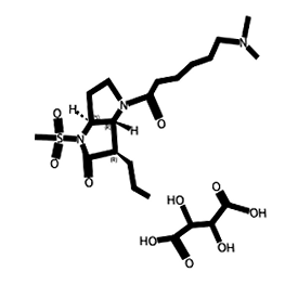 CCC[C@H]1C(=O)N(S(C)(=O)=O)[C@H]2CCN(C(=O)CCCCCN(C)C)[C@H]12.O=C(O)C(O)C(O)C(=O)O